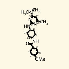 COc1ccc(C(=O)N[C@H]2CC[C@@H](Nc3nc(C)cc(N(C)C)n3)CC2)cc1